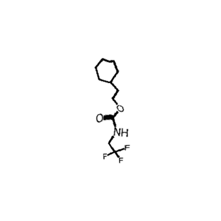 O=C(NCC(F)(F)F)OCCC1CCCCC1